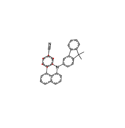 CC1(C)c2ccccc2-c2cc(N(c3cccc(C#N)c3)c3cccc4cccc(-c5ccccc5)c34)ccc21